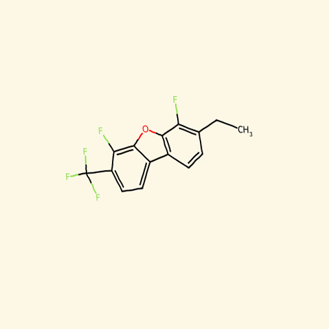 CCc1ccc2c(oc3c(F)c(C(F)(F)F)ccc32)c1F